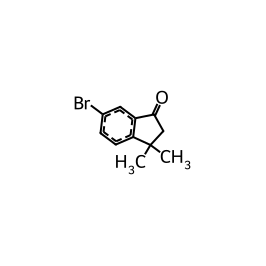 CC1(C)CC(=O)c2cc(Br)ccc21